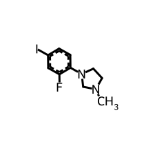 CN1CCN(c2ccc(I)cc2F)C1